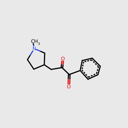 CN1CCC(CC(=O)C(=O)c2ccccc2)C1